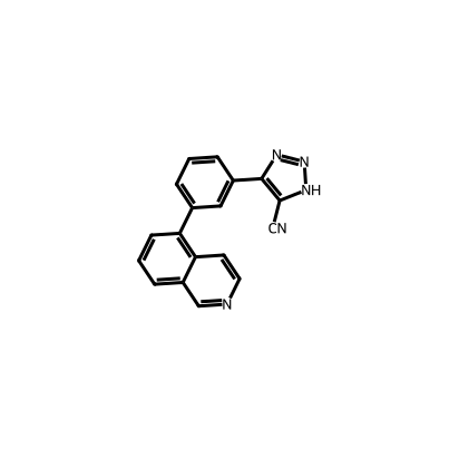 N#Cc1[nH]nnc1-c1cccc(-c2cccc3cnccc23)c1